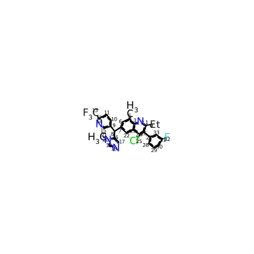 CCc1nc2c(C)cc(C(c3ccc(C(F)(F)F)nc3)c3cncn3C)cc2c(Cl)c1-c1cccc(F)c1